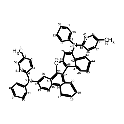 Cc1ccc(N(c2ccccc2)c2ccc3c4ccccc4c4c(oc5cc(N(c6ccccc6)c6ccc(C)cn6)c6ccccc6c54)c3c2)nc1